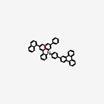 c1ccc(-c2cccc(N(c3ccc(-c4ccc5c6ccccc6c6ccccc6c5c4)cc3)c3ccccc3-c3cccc(-c4cccc5ccccc45)c3)c2)cc1